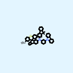 CC(C)(C)c1ccc2c(c1)C1(c3cc(C(C)(C)C)ccc3S2)c2ccccc2-c2ccc(N(c3cccc(-n4c5ccccc5c5ccccc54)c3)c3ccc4c(c3)C(C)(C)c3ccccc3-4)cc21